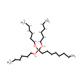 CCCCCCCC[Si](OCCCCCC)(OCCCCCC)OCCCCCC